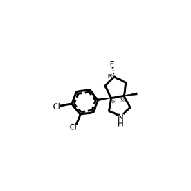 C[C@@]12CNC[C@]1(c1ccc(Cl)c(Cl)c1)C[C@H](F)C2